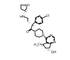 C[C@@H]1C[C@@H](O)c2ncnc(N3CCN(C(=O)[C@H](CCN[C@@H]4CCNC4)c4ccc(Cl)cc4)CC3)c21